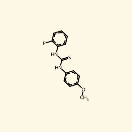 COc1ccc(NC(=S)Nc2ccccc2F)cc1